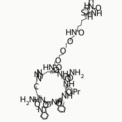 CC(C)C[C@H]1NC(=O)[C@@H](CC(N)=O)NC(=O)[C@@H](NC(=O)COCCOCCOCCNC(=O)CCCC[C@H]2SC[C@H]3NC(=O)N[C@H]32)Cc2cn(nn2)CCCC[C@@H](C(N)=O)NC(=O)[C@H](Cc2cn(C)c3ccccc23)NC(=O)[C@@H](Cc2ccccc2)NC1=O